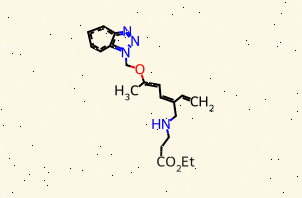 C=C/C(=C\C=C(/C)OCn1nnc2ccccc21)CNCCC(=O)OCC